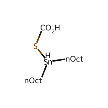 CCCCCCC[CH2][SnH]([CH2]CCCCCCC)[S]C(=O)O